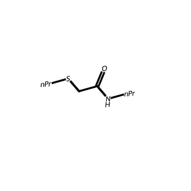 CCCNC(=O)CSCCC